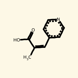 CC(=Cc1ccncc1)C(=O)O